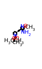 COc1cc(N)c(C#C[C@@H]2CCCN(C(=O)OC(C)(C)C)C2)cn1